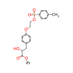 Cc1ccc(S(=O)(=O)OCCOc2ccc(CC(O)C(=O)OC(C)C)cc2)cc1